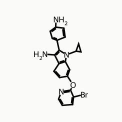 Nc1ccc(-c2c(N)c3ccc(Oc4ncccc4Br)cc3n2C2CC2)cc1